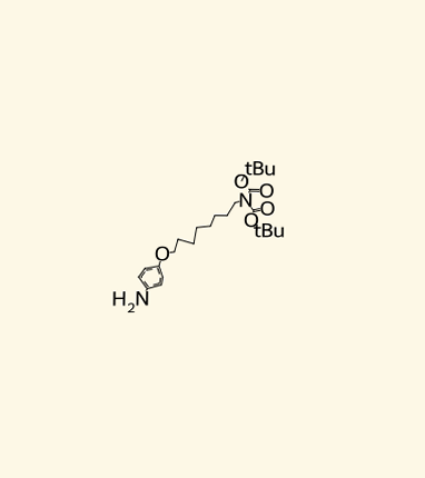 CC(C)(C)OC(=O)N(CCCCCCCCOc1ccc(N)cc1)C(=O)OC(C)(C)C